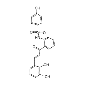 O=C(C=Cc1cccc(O)c1O)c1ccccc1NS(=O)(=O)c1ccc(O)cc1